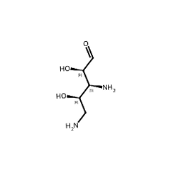 NC[C@@H](O)[C@H](N)[C@@H](O)C=O